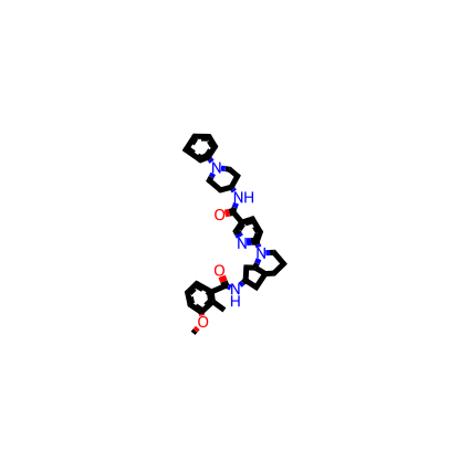 COc1cccc(C(=O)NC2CC3CCCN(c4ccc(C(=O)NC5CCN(c6ccccc6)CC5)cn4)C3C2)c1C